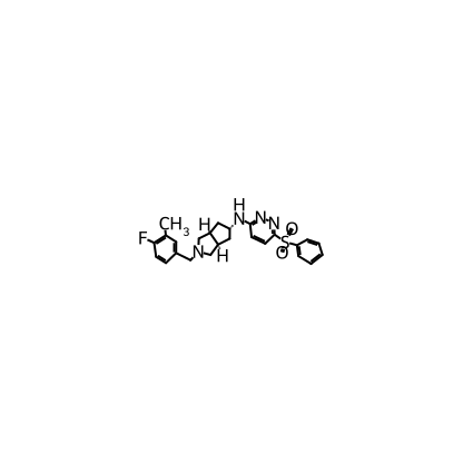 Cc1cc(CN2C[C@H]3C[C@H](Nc4ccc(S(=O)(=O)c5ccccc5)nn4)C[C@H]3C2)ccc1F